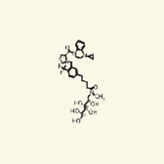 CN(C[C@H](O)[C@@H](O)[C@H](O)[C@H](O)CO)C(=O)CCCCc1ccc(C(F)(F)F)c(CN2CSC[C@H]2C(=O)N2CCN(C3CC3)c3ccccc32)c1